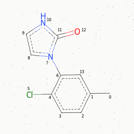 Cc1ccc(Cl)c(-n2cc[nH]c2=O)c1